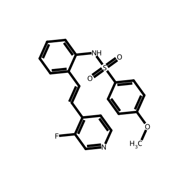 COc1ccc(S(=O)(=O)Nc2ccccc2C=Cc2ccncc2F)cc1